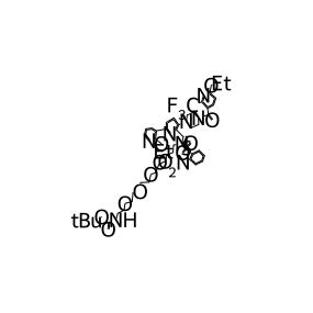 CCOc1ccc(C(=O)N2CCN(c3ccc(-c4cccnc4OCC)nc3CN(CCCOCCOCCOCCOCCNC(=O)OC(C)(C)C)S(=O)(=O)c3ccccc3[N+](=O)[O-])CC2)c(C(F)(F)F)n1